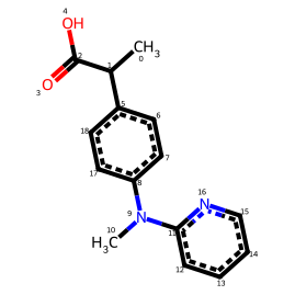 CC(C(=O)O)c1ccc(N(C)c2ccccn2)cc1